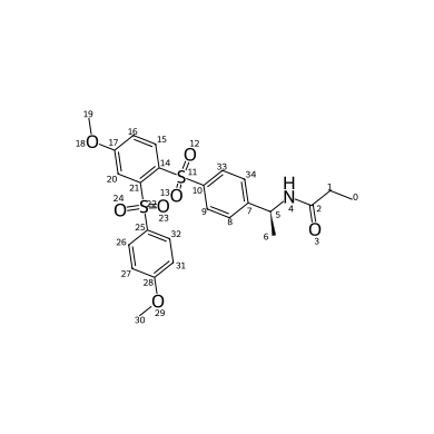 CCC(=O)N[C@@H](C)c1ccc(S(=O)(=O)c2ccc(OC)cc2S(=O)(=O)c2ccc(OC)cc2)cc1